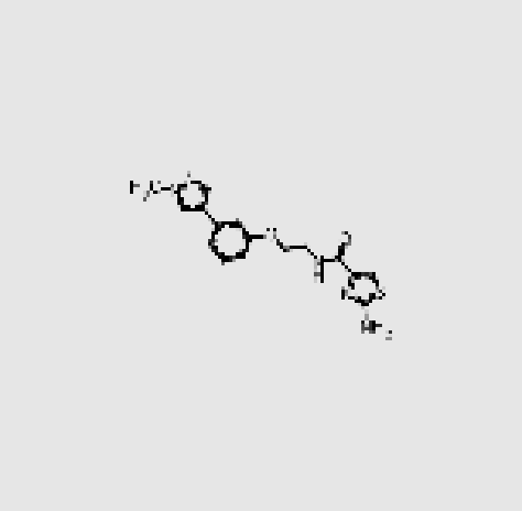 Cn1cc(-c2c[c]cc(OCCNC(=O)c3csc(N)n3)c2)cn1